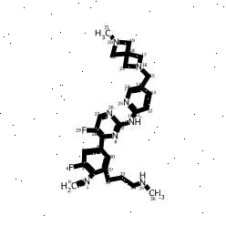 C=Nc1c(F)cc(-c2nc(Nc3ccc(CN4CC5(CN(C)C5)C4)cn3)ncc2F)cc1CCCNC